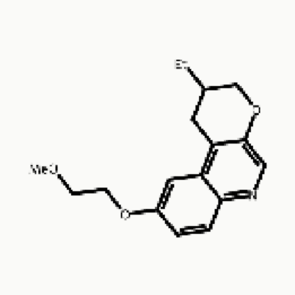 CCC1COc2cnc3ccc(OCCOC)cc3c2C1